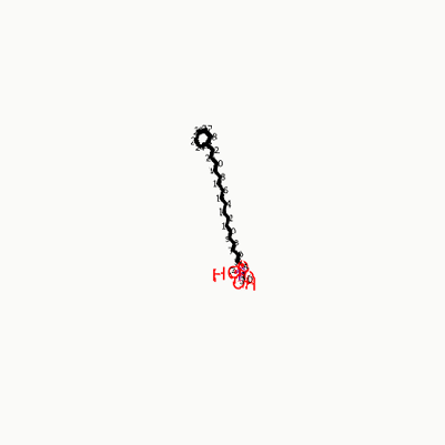 O=P(O)(O)OCCCCCCCCCCCCCCCCCCC1CCCCC1